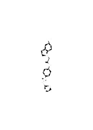 Cc1ccc2c(ccn2CC(=O)Nc2ccc(S(=O)(=O)Nc3nccs3)cc2)c1